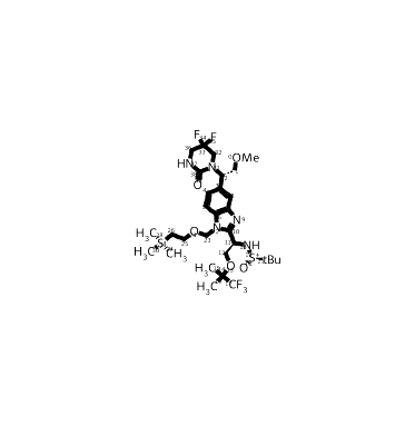 COC[C@H](c1ccc2c(c1)nc([C@H](COC(C)(C)C(F)(F)F)N[S@+]([O-])C(C)(C)C)n2COCC[Si](C)(C)C)N1CC(F)(F)CNC1=O